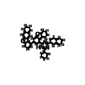 c1ccc(C2=NC(c3ccc4ccccc4c3)=NC(c3cc(-c4cccc5oc6cc7ccccc7cc6c45)cc4oc5ccccc5c34)N2)cc1